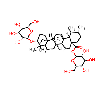 C[C@H]1[C@H](C)CC[C@]2(C(=O)O[C@@H]3O[C@H](CO)[C@@H](O)[C@H](O)[C@H]3O)CC[C@]3(C)C(=CC[C@@H]4[C@@]5(C)CC[C@H](O[C@@H]6O[C@H](CO)[C@@H](O)[C@H](O)[C@H]6O)C(C)(C)C5CC[C@]43C)[C@H]12